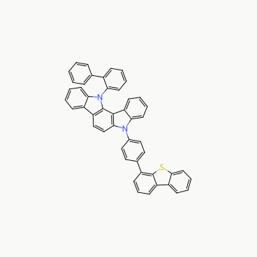 c1ccc(-c2ccccc2-n2c3ccccc3c3ccc4c(c5ccccc5n4-c4ccc(-c5cccc6c5sc5ccccc56)cc4)c32)cc1